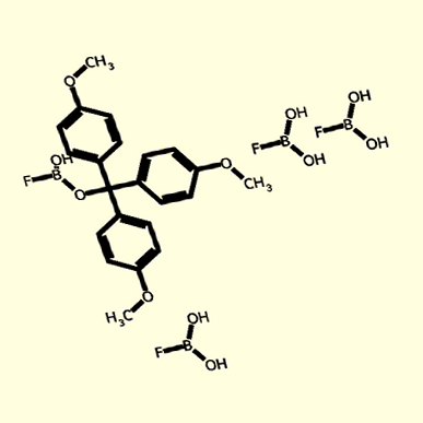 COc1ccc(C(OB(O)F)(c2ccc(OC)cc2)c2ccc(OC)cc2)cc1.OB(O)F.OB(O)F.OB(O)F